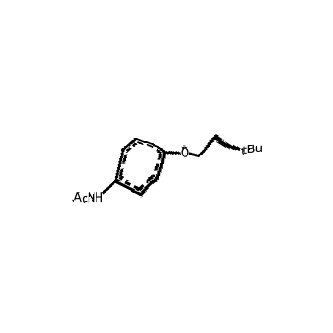 CC(=O)Nc1ccc(OCCC(C)(C)C)cc1